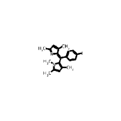 CC1=CC(C)=N/C1=C(/c1ccc(I)cc1)c1c(C)cc(C)n1C